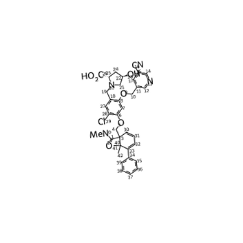 CNC(=O)C1(COc2cc(OCc3cncc(C#N)c3)c(CN3C[C@H](O)C[C@H]3C(=O)O)cc2Cl)C=CC=C(c2ccccc2)C1(C)C